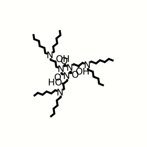 CCCCCCN(CCCCCC)CC(O)Cn1c(=O)n(CC(O)CN(CCCCCC)CCCCCC)c(=O)n(CC(O)CN(CCCCCC)CCCCCC)c1=O